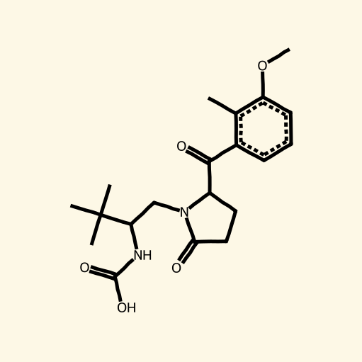 COc1cccc(C(=O)C2CCC(=O)N2CC(NC(=O)O)C(C)(C)C)c1C